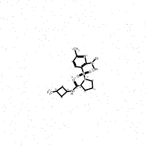 CCN(c1nc(C)ccc1S(=O)(=O)N1CCC[C@H]1C(=O)NC1CC(C(F)(F)F)C1)C(C)C